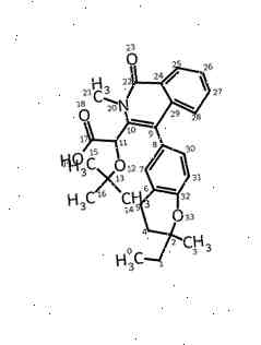 CCC1(C)CCc2cc(-c3c(C(OC(C)(C)C)C(=O)O)n(C)c(=O)c4ccccc34)ccc2O1